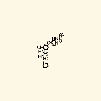 O=C(Cc1ccccc1)NC(=S)Nc1ccc(Oc2ccnc(NC(=O)N3CCC3)c2)cc1Cl